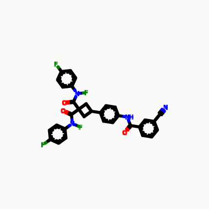 N#Cc1cccc(C(=O)Nc2ccc(C3CC(C(=O)N(F)c4ccc(F)cc4)(C(=O)N(F)c4ccc(F)cc4)C3)cc2)c1